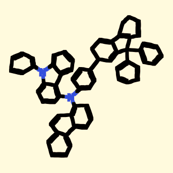 C1=CC2=C(CC1)C1=CCC(c3ccc(N(c4cccc5c4ccc4ccccc45)c4cccc5c4c4ccccc4n5-c4ccccc4)cc3)C=C1C2(c1ccccc1)c1ccccc1